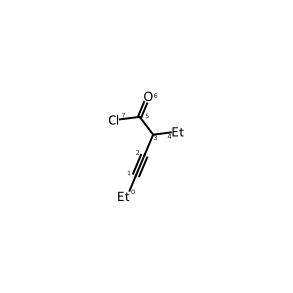 CCC#CC(CC)C(=O)Cl